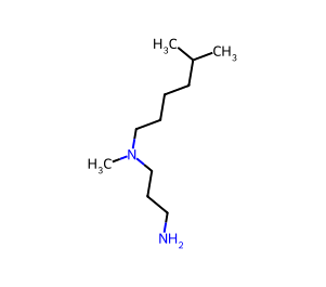 CC(C)CCCCN(C)CCCN